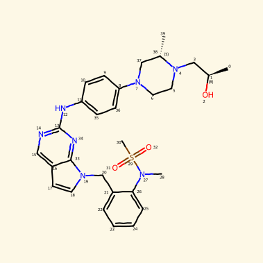 C[C@@H](O)CN1CCN(c2ccc(Nc3ncc4ccn(Cc5ccccc5N(C)S(C)(=O)=O)c4n3)cc2)C[C@@H]1C